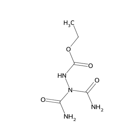 CCOC(=O)NN(C(N)=O)C(N)=O